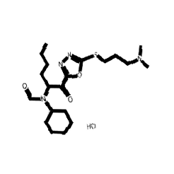 CCCCC(C(=O)c1nnc(SCCCN(C)C)o1)N(C=O)C1CCCCC1.Cl